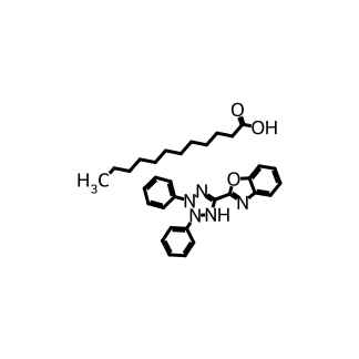 CCCCCCCCCCCC(=O)O.c1ccc(N2N=C(c3nc4ccccc4o3)NN2c2ccccc2)cc1